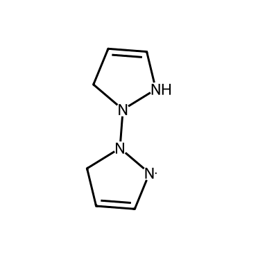 C1=C[N]N(N2CC=CN2)C1